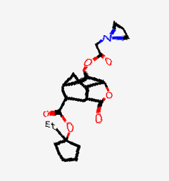 CCC1(OC(=O)C2C3CC4C(OC(=O)C42)C3OC(=O)CN2CC2)CCCC1